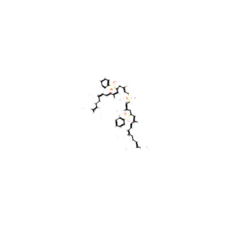 CC(C)=CCCC(C)=CC=CC(C)=CC(CC(C)=CCS(=O)(=O)CC=C(C)CC(C=C(C)C=CC=C(C)CCC=C(C)C)S(=O)(=O)c1ccccc1)S(=O)(=O)c1ccccc1